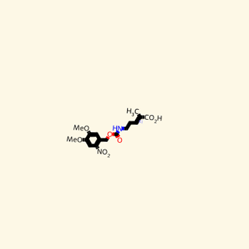 COc1cc(COC(=O)NCC/C=C(\C)C(=O)O)c([N+](=O)[O-])cc1OC